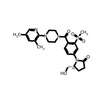 Cc1cnc(N2CCN(C(=O)c3ccc(N4C(=O)CC[C@@H]4CO)cc3S(C)(=O)=O)CC2)c(C)c1